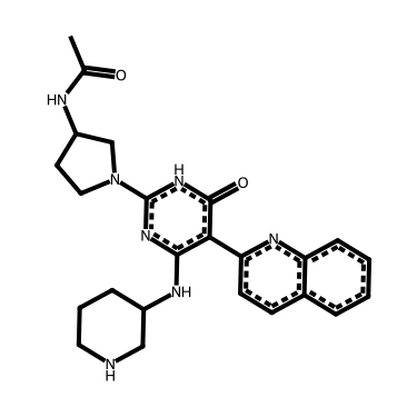 CC(=O)NC1CCN(c2nc(NC3CCCNC3)c(-c3ccc4ccccc4n3)c(=O)[nH]2)C1